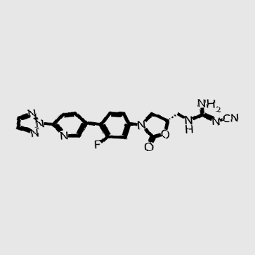 N#C/N=C(\N)NC[C@H]1CN(c2ccc(-c3ccc(-n4nccn4)nc3)c(F)c2)C(=O)O1